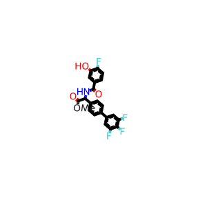 COC(=O)C(NC(=O)c1ccc(F)c(O)c1)c1ccc(-c2cc(F)c(F)c(F)c2)cc1